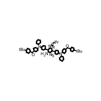 CC(C)Cn1nc2c(-c3ccc(N(c4ccccc4)c4ccc(C(=O)c5ccc(C(C)(C)C)cc5)cc4)cc3)c(N)c(N=S)c(-c3ccc(N(c4ccccc4)c4ccc(C(=O)c5ccc(C(C)(C)C)cc5)cc4)cc3)c2n1